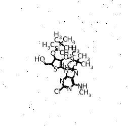 CNc1nc(Cl)nc2c1ncn2C1SC(CO)C(O[Si](C)(C)C(C)(C)C)C1O[Si](C)(C)C(C)(C)C